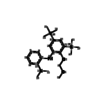 COCOc1c(Pc2ccccc2N(C)C)cc([Si](C)(C)C)cc1[Si](C)(C)C